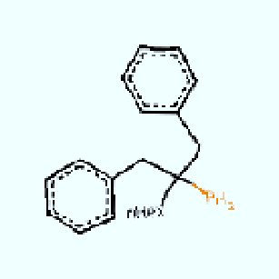 CCCCCCC(P)(Cc1ccccc1)Cc1ccccc1